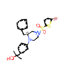 CC(C)(O)c1ccc(N2CCN(S(=O)(=O)c3ccc(Br)s3)C[C@@H]2Cc2ccccc2)cc1